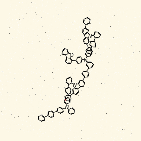 c1ccc(-c2ccc(-c3ccc(N(c4ccccc4)c4ccc(-c5ccc(-c6ccccc6-n6c7cc(-c8ccccc8)ccc7c7ccc(-c8ccc(-c9cccc(N(c%10ccc(-c%11ccc(-c%12ccccc%12-n%12c%13cc(-c%14ccccc%14)ccc%13c%13ccc(-c%14ccccc%14)cc%13%12)cc%11)cc%10)c%10ccc(-c%11cccc%12c%11oc%11ccccc%11%12)cc%10)c9)cc8)cc76)cc5)cc4)cc3)cc2)cc1